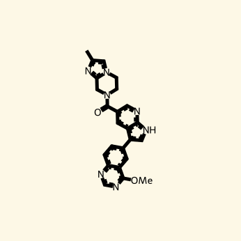 COc1ncnc2ccc(-c3c[nH]c4ncc(C(=O)N5CCn6cc(C)nc6C5)cc34)cc12